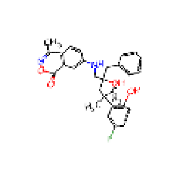 Cc1noc(=O)c2cc(NCC(O)(Cc3ccccc3)CC(C)(C)c3cc(F)ccc3O)ccc12